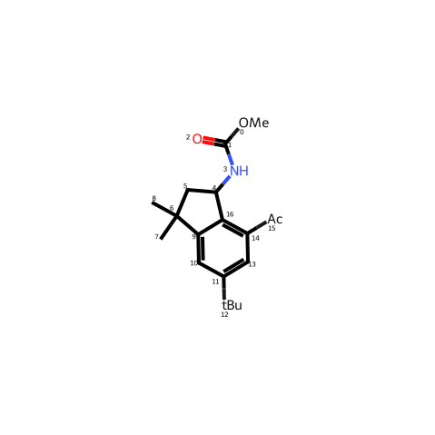 COC(=O)NC1CC(C)(C)c2cc(C(C)(C)C)cc(C(C)=O)c21